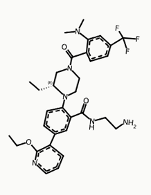 CCOc1ncccc1-c1ccc(N2CCN(C(=O)c3ccc(C(F)(F)F)cc3N(C)C)C[C@H]2CC)c(C(=O)NCCN)c1